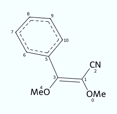 COC(C#N)=C(OC)c1ccccc1